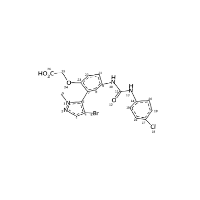 Cn1ncc(Br)c1-c1cc(NC(=O)Nc2ccc(Cl)cc2)ccc1OCC(=O)O